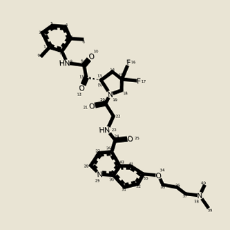 Cc1cccc(C)c1NC(=O)C(=O)[C@@H]1CC(F)(F)CN1C(=O)CNC(=O)c1ccnc2ccc(OCCCN(C)C)cc12